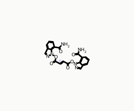 NC(=O)c1cccc2cnn(OC(=O)/C=C/C(=O)On3ncc4cccc(C(N)=O)c43)c12